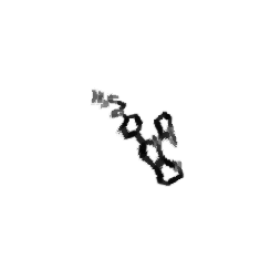 CCOc1ccc(-c2cc3cccnc3n2-c2cccs2)cc1